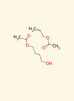 C=CCOC(C)=O.CC(=O)OCCCCO